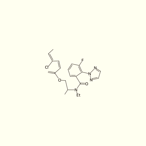 C=C(/C=C\C(Cl)=C/C)OCC(C)N(CC)C(=O)c1cccc(F)c1-n1nccn1